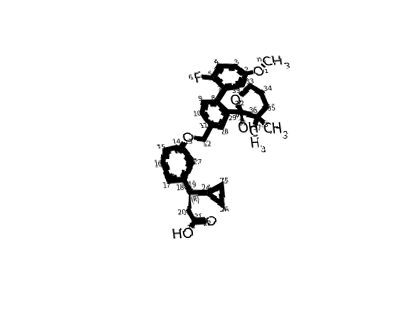 COc1ccc(F)c(-c2ccc(COc3cccc([C@H](CC(=O)O)C4CC4)c3)cc2[C@]2(O)OCCCC2(C)C)c1